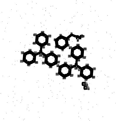 [Cl-].[Cl-].[Pd+2][CH2]c1ccccc1.c1ccc(P(c2ccccc2)c2ccccc2)cc1.c1ccc(P(c2ccccc2)c2ccccc2)cc1